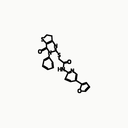 O=C(CSc1nc2c(c(=O)n1-c1ccccc1)SCC2)Nc1ccc(-c2ccco2)cn1